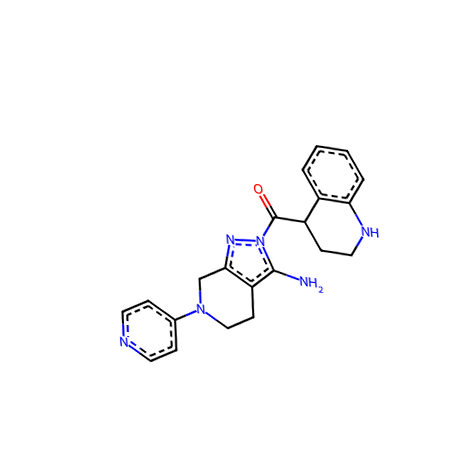 Nc1c2c(nn1C(=O)C1CCNc3ccccc31)CN(c1ccncc1)CC2